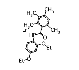 CCOc1ccc(PC(=O)c2c(C)cc(C)c(C)c2C)c(OCC)c1.[Li]